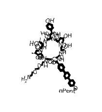 CCCCCOc1ccc(-c2ccc(-c3ccc(C(=O)NC4C[C@@H](O)C(NCCOCCOCCN)NC(=O)C5[C@@H](O)[C@@H](C)CN5C(=O)C([C@@H](C)O)NC(=O)C([C@H](O)[C@@H](O)c5ccc(O)cc5)NC(=O)C5C[C@@H](O)CN5C(=O)C([C@@H](C)O)NC4=O)cc3)cc2)cc1